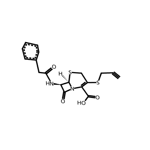 C#CCSC1=C(C(=O)O)N2C(=O)[C@@H](NC(=O)Cc3ccccc3)[C@H]2SC1